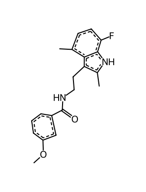 COc1cccc(C(=O)NCCc2c(C)[nH]c3c(F)ccc(C)c23)c1